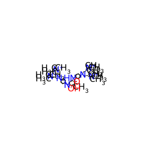 CC1=C(O)C(=Nc2ccc(N(CCC[N+](C)(C)C)CCC[N+](C)(C)C)cc2)C=C(Nc2ccc(N(CCC[N+](C)(C)C)CCC[N+](C)(C)C)cc2)C1=O